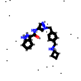 O=C(Nc1cnn(Cc2ccc(CNC3CCC3)cc2)c1)c1n[nH]c2ccccc12